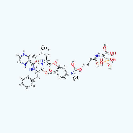 CC(C)C[C@H](NC(=O)[C@H](Cc1ccccc1)NC(=O)c1cnccn1)B1Oc2ccc(N(C)C(=O)OCCCC(=O)NC(C(=O)O)P(=O)(O)O)cc2O1